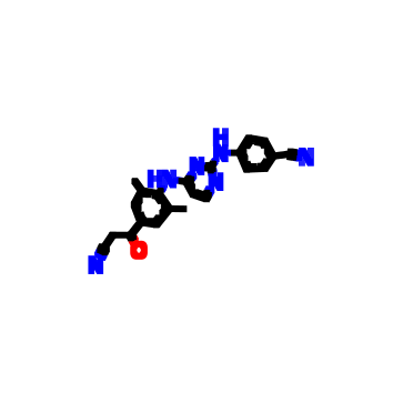 Cc1cc(C(=O)CC#N)cc(C)c1Nc1ccnc(Nc2ccc(C#N)cc2)n1